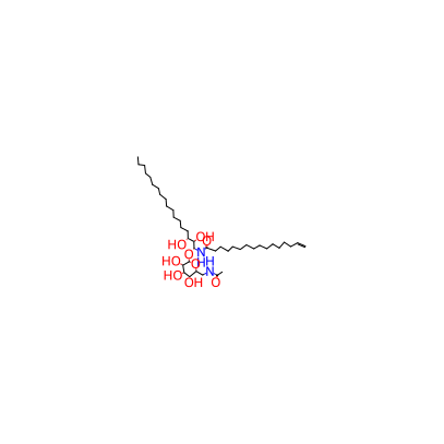 C=CCCCCCCCCCCCCCC(=O)N[C@@H](OC1OC(CNC(C)=O)C(O)C(O)C1O)C(O)[C@H](O)CCCCCCCCCCCCCCC